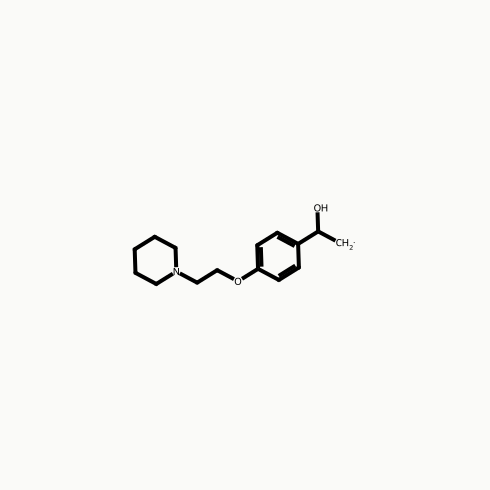 [CH2]C(O)c1ccc(OCCN2CCCCC2)cc1